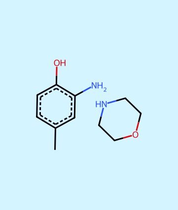 C1COCCN1.Cc1ccc(O)c(N)c1